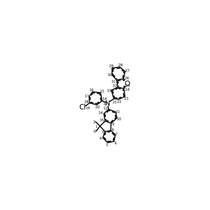 CC1(C)c2ccccc2-c2ccc(N(c3cccc(Cl)c3)c3ccc4oc5ccccc5c4c3)cc21